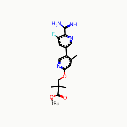 Cc1cc(OCC(C)(C)C(=O)OC(C)(C)C)ncc1-c1cnc(C(=N)N)c(F)c1